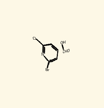 Clc1cccc(Br)n1.O=CO